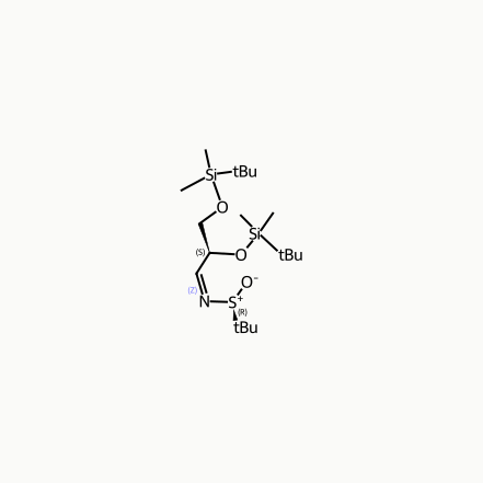 CC(C)(C)[S@+]([O-])/N=C\[C@@H](CO[Si](C)(C)C(C)(C)C)O[Si](C)(C)C(C)(C)C